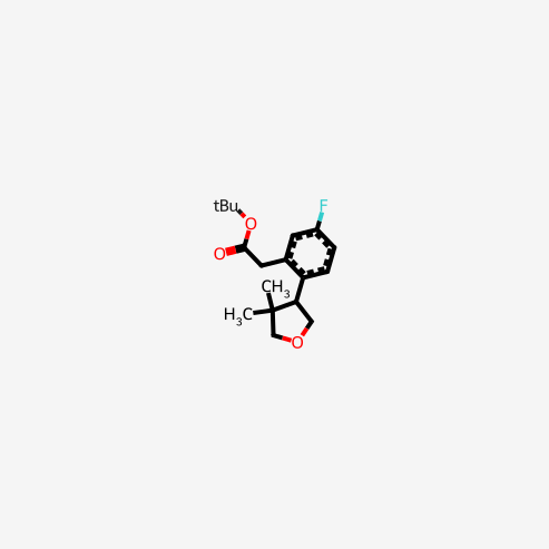 CC(C)(C)OC(=O)Cc1cc(F)ccc1C1COCC1(C)C